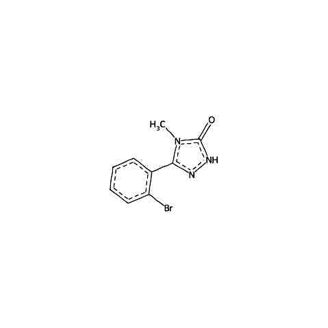 Cn1c(-c2ccccc2Br)n[nH]c1=O